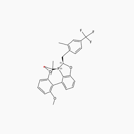 COc1cccc(OC)c1-c1cccc2c1[P@@](C(C)(C)C)[C@@H](Cc1ccc(C(F)(F)F)cc1C)O2